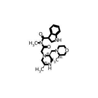 C[C@@H]1CN(CC(=O)N(C)C(=O)C2CNc3ccccc32)[C@@H](CN2CCOC[C@H]2C)CN1